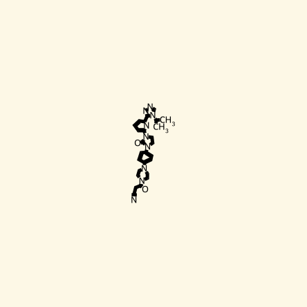 CC(C)n1cnnc1-c1cccc(N2CCN(c3ccc(N4CCN(C(=O)CC#N)CC4)cc3)C2=O)n1